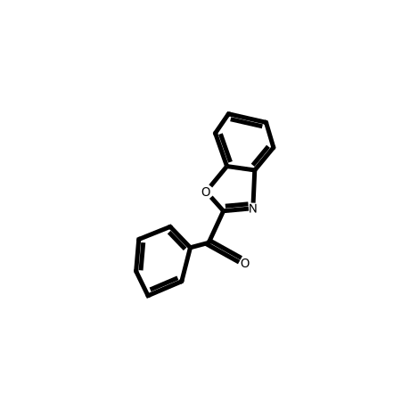 O=C(c1ccccc1)c1nc2ccccc2o1